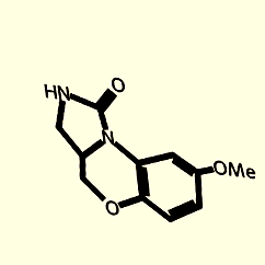 COc1ccc2c(c1)N1C(=O)NCC1CO2